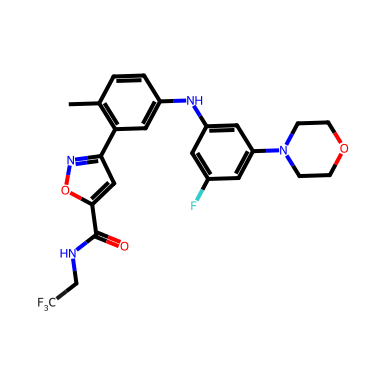 Cc1ccc(Nc2cc(F)cc(N3CCOCC3)c2)cc1-c1cc(C(=O)NCC(F)(F)F)on1